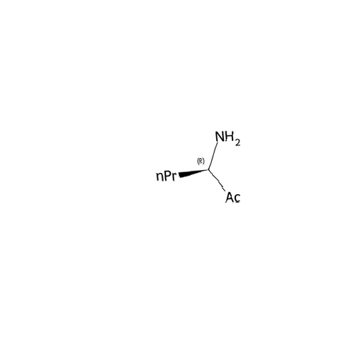 CCC[C@@H](N)C(C)=O